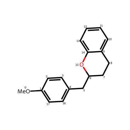 COc1ccc(CC2CCc3ccccc3O2)cc1